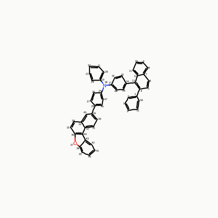 c1ccc(-c2ccc3ccccc3c2-c2ccc(N(c3ccccc3)c3ccc(-c4ccc5c(ccc6oc7ccccc7c65)c4)cc3)cc2)cc1